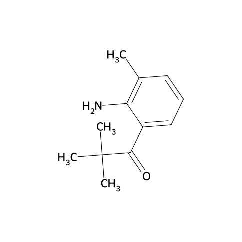 Cc1cccc(C(=O)C(C)(C)C)c1N